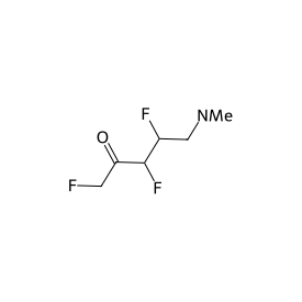 CNCC(F)C(F)C(=O)CF